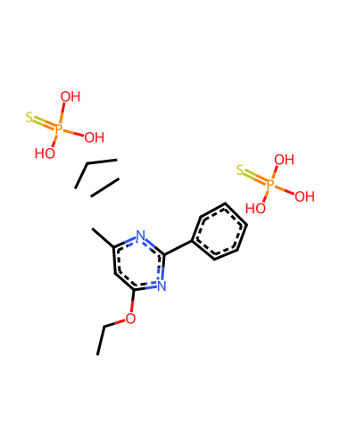 CC.CCC.CCOc1cc(C)nc(-c2ccccc2)n1.OP(O)(O)=S.OP(O)(O)=S